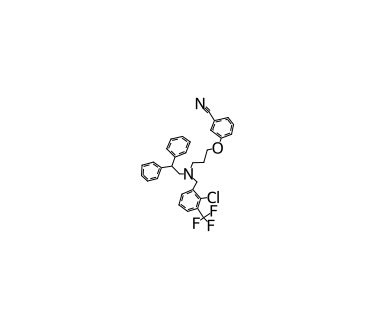 N#Cc1cccc(OCCCN(Cc2cccc(C(F)(F)F)c2Cl)CC(c2ccccc2)c2ccccc2)c1